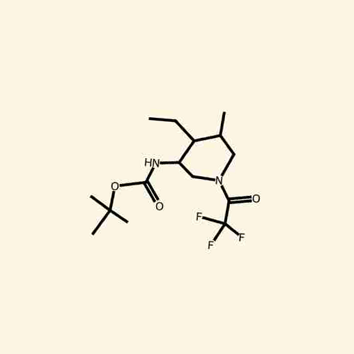 CCC1C(C)CN(C(=O)C(F)(F)F)CC1NC(=O)OC(C)(C)C